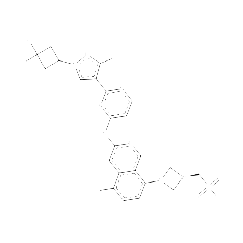 CC(C)c1ccc(N2C[C@H](CS(C)(=O)=O)[C@H]2C)c2cnc(Nc3ccnc(-c4cn(C5CC(C)(O)C5)nc4Cl)n3)cc12